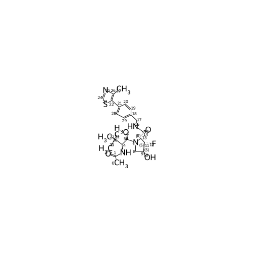 CC(=O)NC(C(=O)N1C[C@H](O)[C@@H](F)[C@H]1C(=O)NCc1ccc(-c2scnc2C)cc1)C(C)(C)C